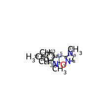 CN1C(=O)/C(=C\c2nccn2C)c2ccc(C(C)(C)C)cc21